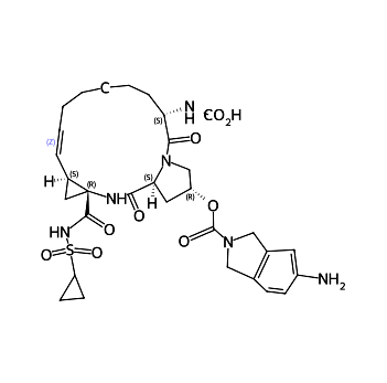 Nc1ccc2c(c1)CN(C(=O)O[C@@H]1C[C@H]3C(=O)N[C@]4(C(=O)NS(=O)(=O)C5CC5)C[C@H]4/C=C\CCCCC[C@H](NC(=O)O)C(=O)N3C1)C2